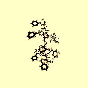 CCC(=O)O[C@@H](CC(=O)NC1[C@H](OCC2O[C@@H](O[Si](C)(C)C(C)(C)C(C)C)C(NC(=O)C[C@@H](CC(C)C)OCc3ccccc3)[C@@H](C)[C@@H]2OCc2ccccc2)OC2COC(c3ccccc3)O[C@H]2[C@@H]1OC(=O)C[C@@H](CC(C)C)OCc1ccccc1)CC(C)C